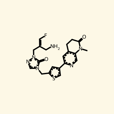 CN1C(=O)CCc2cc(-c3csc(Cn4cnn(C/C(=C/F)CN)c4=O)c3)ncc21